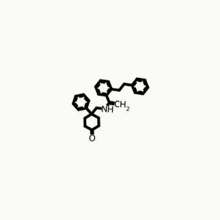 C=C(NCC1(c2ccccc2)CCC(=O)CC1)c1ccccc1CCc1ccccc1